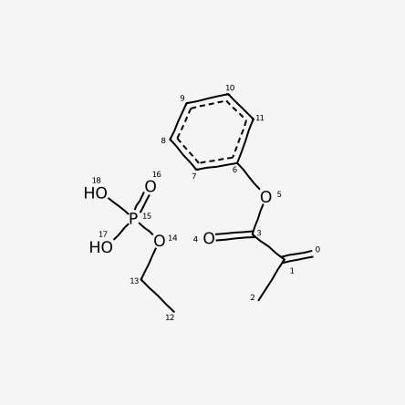 C=C(C)C(=O)Oc1ccccc1.CCOP(=O)(O)O